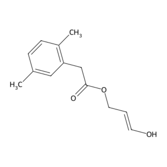 Cc1ccc(C)c(CC(=O)OCC=CO)c1